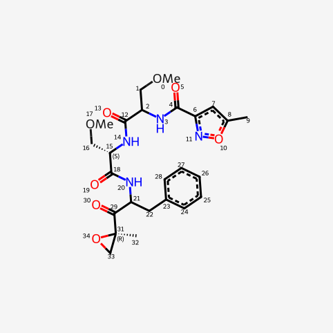 COCC(NC(=O)c1cc(C)on1)C(=O)N[C@@H](COC)C(=O)NC(Cc1ccccc1)C(=O)[C@@]1(C)CO1